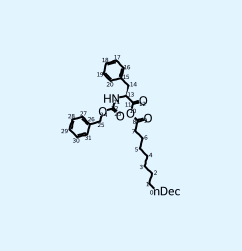 CCCCCCCCCCCCCCCCCC(=O)OC(=O)[C@H](Cc1ccccc1)NC(=O)OCc1ccccc1